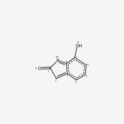 O=C1C=c2cccc(O)c2=N1